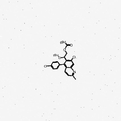 Cc1ccc2c(-c3ccc(Cl)cc3)c(C(COC(=O)C(C)(C)C)OC(C)(C)C)c(Cl)cc2n1